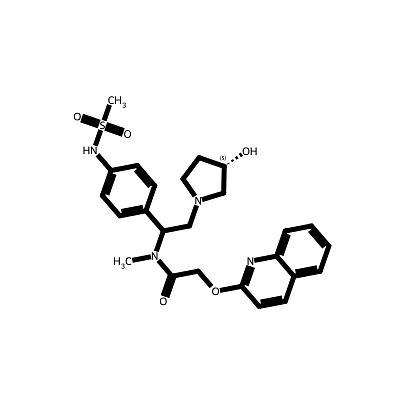 CN(C(=O)COc1ccc2ccccc2n1)C(CN1CC[C@H](O)C1)c1ccc(NS(C)(=O)=O)cc1